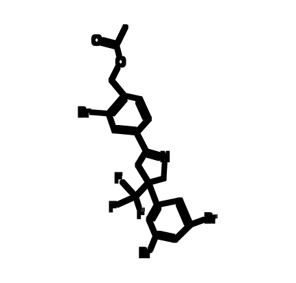 CC(=O)OCc1ccc(C2=NCC(c3cc(Br)cc(Br)c3)(C(F)(F)F)C2)cc1Br